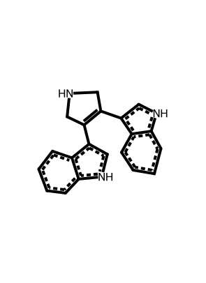 c1ccc2c(C3=C(c4c[nH]c5ccccc45)CNC3)c[nH]c2c1